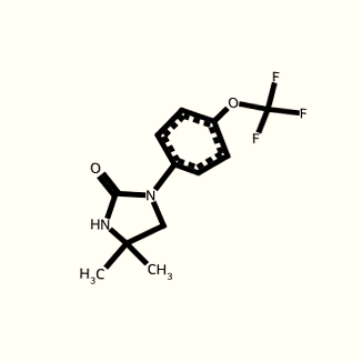 CC1(C)CN(c2ccc(OC(F)(F)F)cc2)C(=O)N1